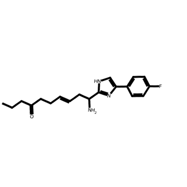 CCCC(=O)CC/C=C/CC(N)c1nc(-c2ccc(F)cc2)c[nH]1